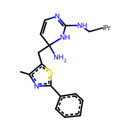 Cc1nc(-c2ccccc2)sc1CC1(N)C=CN=C(NCC(C)C)N1